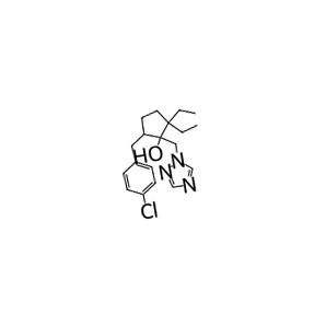 CCC1(CC)CCC(Cc2ccc(Cl)cc2)C1(O)Cn1cncn1